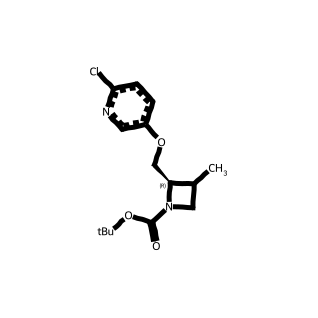 CC1CN(C(=O)OC(C)(C)C)[C@H]1COc1ccc(Cl)nc1